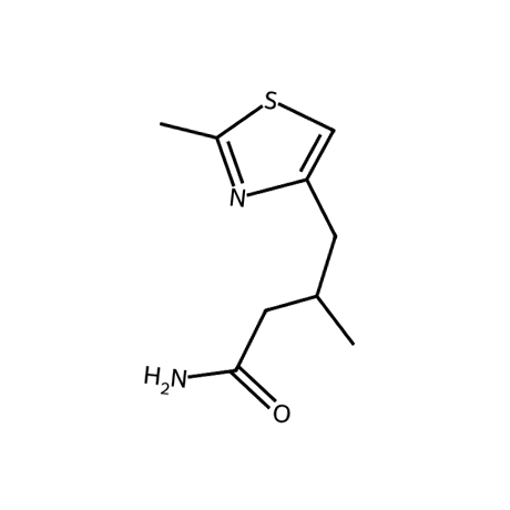 Cc1nc(CC(C)CC(N)=O)cs1